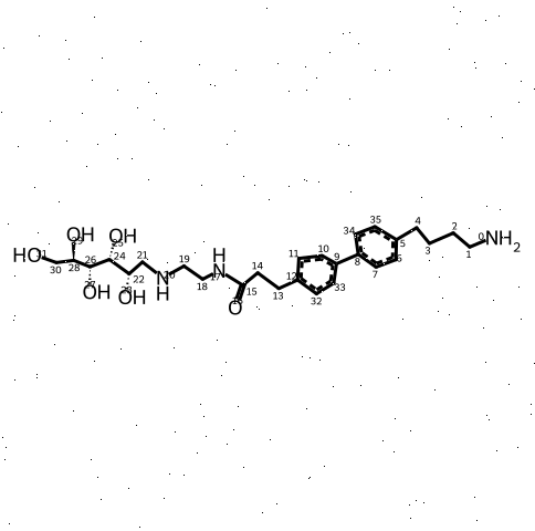 NCCCCc1ccc(-c2ccc(CCC(=O)NCCNC[C@H](O)[C@@H](O)[C@H](O)[C@H](O)CO)cc2)cc1